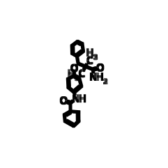 CC(C)(C(N)=O)C(Oc1ccc(NC(=O)c2ccccc2)cc1)c1ccccc1